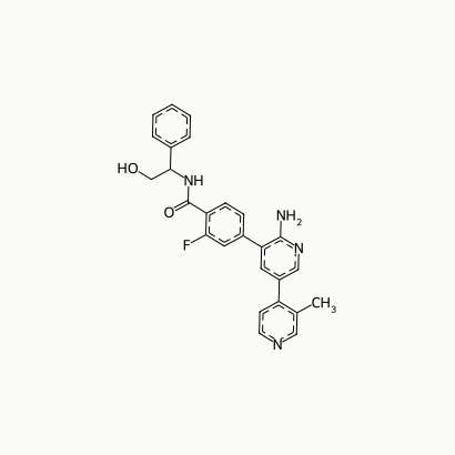 Cc1cnccc1-c1cnc(N)c(-c2ccc(C(=O)NC(CO)c3ccccc3)c(F)c2)c1